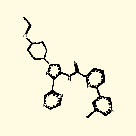 CCOC1CCC(n2cc(NC(=O)c3cccc(-c4cncc(C)c4)n3)c(-c3cnccn3)n2)CC1